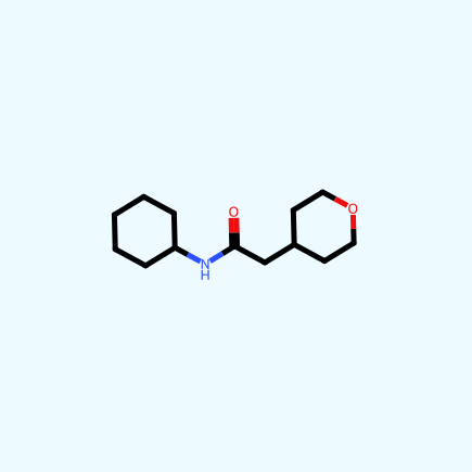 O=C(CC1CCOCC1)NC1CCCCC1